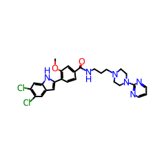 COc1cc(C(=O)NCCCN2CCN(c3ncccn3)CC2)ccc1-c1cc2cc(Cl)c(Cl)cc2[nH]1